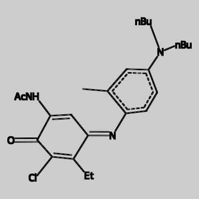 CCCCN(CCCC)c1ccc(N=C2C=C(NC(C)=O)C(=O)C(Cl)=C2CC)c(C)c1